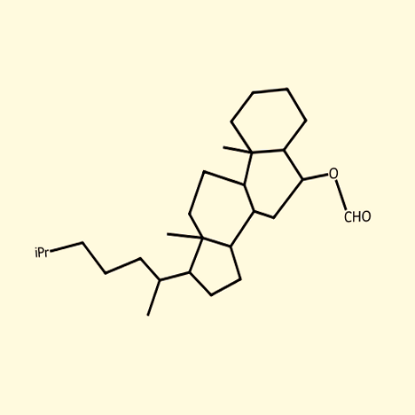 CC(C)CCCC(C)C1CCC2C3CC(OC=O)C4CCCCC4(C)C3CCC12C